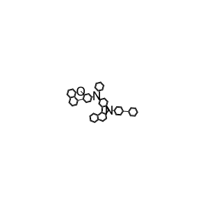 c1ccc(-c2ccc(-n3c4ccc(N(c5ccccc5)c5ccc6c(c5)Oc5cccc7cccc-6c57)cc4c4c5ccccc5ccc43)cc2)cc1